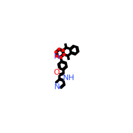 CC12c3ccccc3C(C)(c3ccccc31)c1c2ccnc1-c1ccc2c(c1)oc1c3cnccc3[nH]c21